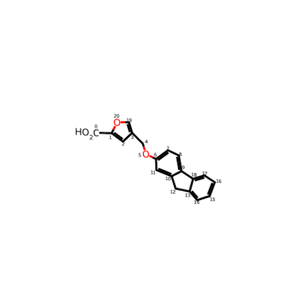 O=C(O)c1cc(COc2ccc3c(c2)Cc2ccccc2-3)co1